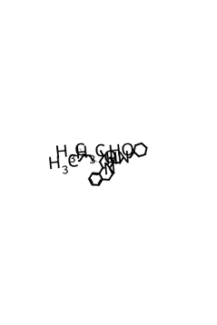 CC[C@H](C)CC[C@H](CC)C1c2ccccc2CCN1C(=O)CNCC1(O)CCCCC1